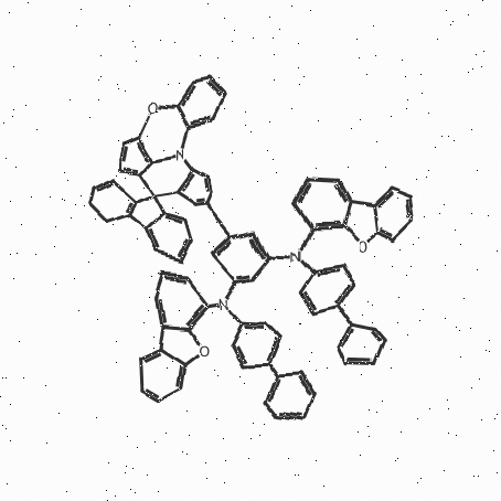 C1=CC2=C(CC1)c1ccccc1C21c2cc(-c3cc(N(c4ccc(-c5ccccc5)cc4)c4cccc5c4oc4ccccc45)cc(N(c4ccc(-c5ccccc5)cc4)c4cccc5c4oc4ccccc45)c3)ccc2N2c3ccccc3Oc3cccc1c32